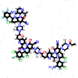 C=CC(=O)N1CCN(c2c(C#N)c(=O)n(-c3c(C)cc(/C=C\C(=O)N4CCN(c5c(C#N)c(=O)n(-c6c(C)cc(/C=C\C(=O)N7CCN(c8c(C#N)c(=O)n(-c9c(C)ccnc9C(C)C)c9nc(-c%10c(N)c(F)c(F)c(F)c%10F)c(Cl)cc89)C[C@H]7C)nc6C(C)C)c6nc(-c7c(N)c(Cl)c(F)c(Cl)c7F)c(Cl)cc56)C[C@H]4C)nc3C(C)C)c3nc(-c4c(F)c(N)c(F)c(Cl)c4F)c(Cl)cc23)C[C@H]1C